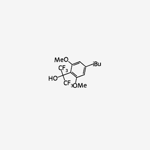 CCC(C)c1cc(OC)c(C(O)(C(F)(F)F)C(F)(F)F)c(OC)c1